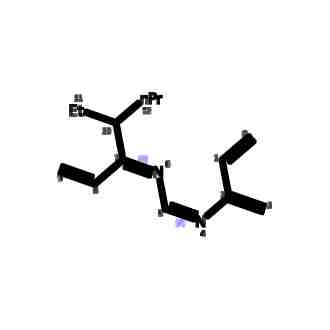 C=CC(=C)/N=C\N=C(/C=C)C(CC)CCC